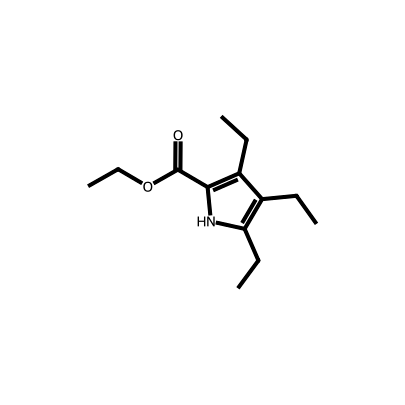 CCOC(=O)c1[nH]c(CC)c(CC)c1CC